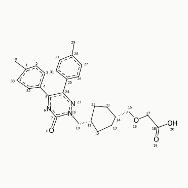 Cc1ccc(-c2nc(=O)n(C[C@H]3CC[C@@H](COCC(=O)O)CC3)nc2-c2ccc(C)cc2)cc1